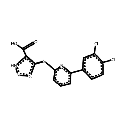 O=C(O)c1[nH]nnc1Sc1cccc(-c2ccc(Cl)c(Cl)c2)n1